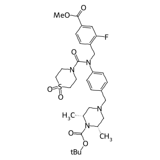 COC(=O)c1ccc(CN(C(=O)N2CCS(=O)(=O)CC2)c2ccc(CN3C[C@@H](C)N(C(=O)OC(C)(C)C)[C@@H](C)C3)cc2)c(F)c1